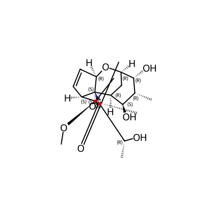 CO[C@H]1C[C@H]2C=C[C@H]3O[C@@H]4C[C@@H]([C@H](O)[C@@H](C)[C@H]4O)[C@]23/C(C)=C/[C@@H](C)[C@@H]([C@@H](C)O)OC1=O